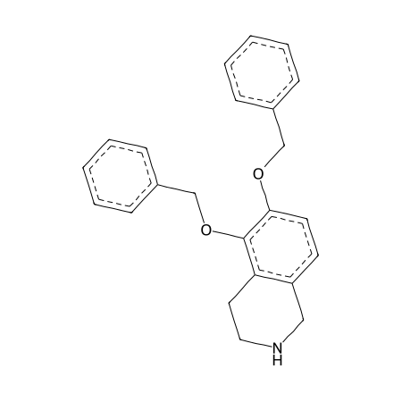 c1ccc(COc2ccc3c(c2OCc2ccccc2)CCNC3)cc1